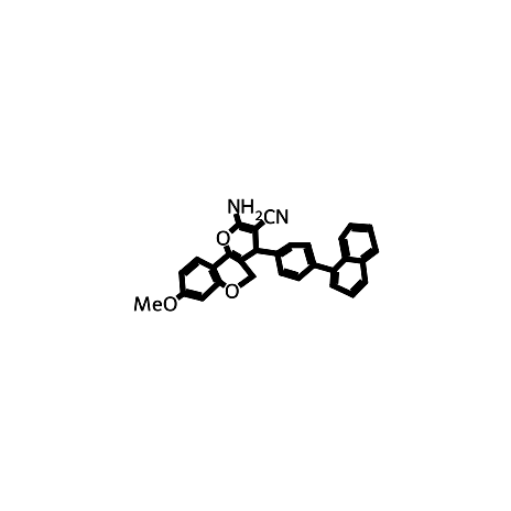 COc1ccc2c(c1)OCC1=C2OC(N)=C(C#N)C1c1ccc(-c2cccc3ccccc23)cc1